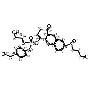 CCCC[S+]([O-])c1ccc2nc3c(cc2c1)C(=O)CC=C3OP(=O)(Oc1ccc(CCl)cc1)SCCC